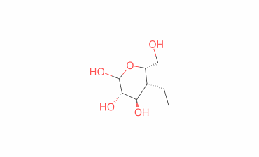 CC[C@@H]1[C@@H](O)[C@H](O)C(O)O[C@@H]1CO